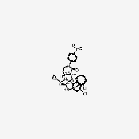 O=C1[C@@H]2[C@H](CCN1c1ccc([N+](=O)[O-])cc1)N(CC1CC1)[C@@]1(C(=O)Nc3cc(Cl)ccc31)[C@H]2c1cccc(Cl)c1F